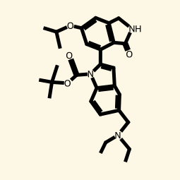 CCN(CC)Cc1ccc2c(c1)cc(-c1cc(OC(C)C)cc3c1C(=O)NC3)n2C(=O)OC(C)(C)C